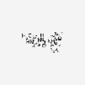 CC1=CN(NC(=O)Nc2ccccc2-c2cnco2)C=CN1